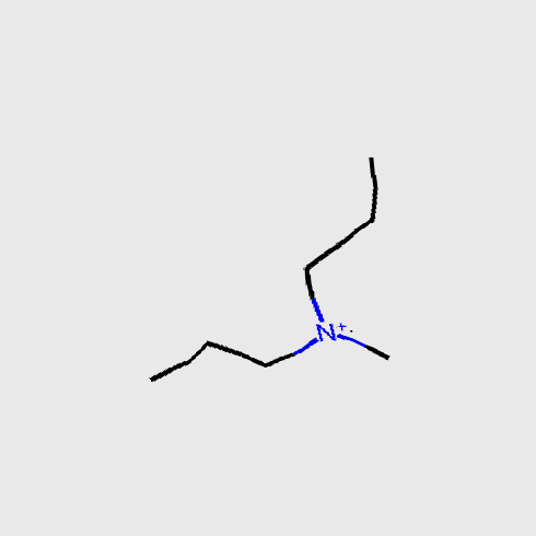 CCC[N+](C)CCC